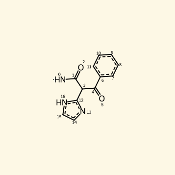 [NH]C(=O)C(C(=O)c1ccccc1)c1ncc[nH]1